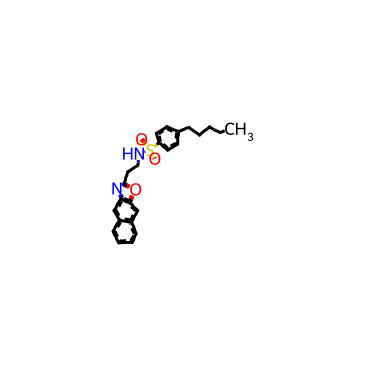 CCCCCc1ccc(S(=O)(=O)NCCc2nc3cc4ccccc4cc3o2)cc1